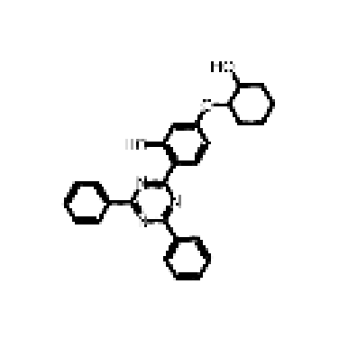 Oc1cc(OC2CCCCC2O)ccc1-c1nc(-c2ccccc2)nc(-c2ccccc2)n1